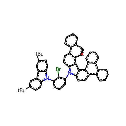 CC(C)(C)c1ccc2c(c1)c1cc(C(C)(C)C)ccc1n2-c1cccc(-n2c3ccc4c5ccccc5c5ccccc5c4c3c3c4c5ccccc5c5ccccc5c4ccc32)c1Br